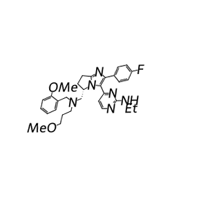 CCNc1nccc(-c2c(-c3ccc(F)cc3)nc3n2[C@H](CN(CCCOC)Cc2ccccc2OC)CC3)n1